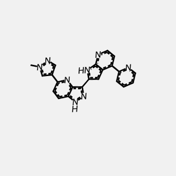 Cn1cc(-c2ccc3[nH]nc(-c4cc5c(-c6ccccn6)ccnc5[nH]4)c3n2)cn1